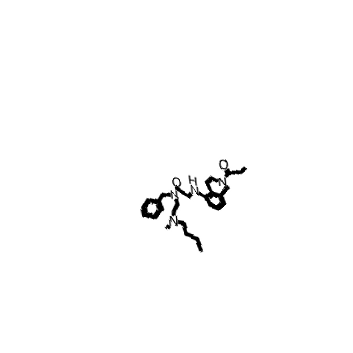 CCCCN(C)CCN(Cc1ccccc1)C(=O)CNc1cccc2c1CCN(C(=O)CC)C2